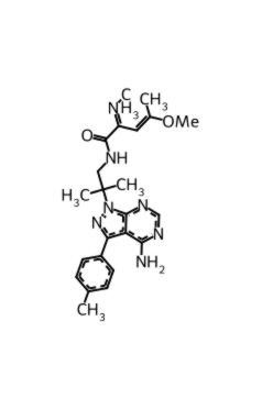 C/N=C(\C=C(/C)OC)C(=O)NCC(C)(C)n1nc(-c2ccc(C)cc2)c2c(N)ncnc21